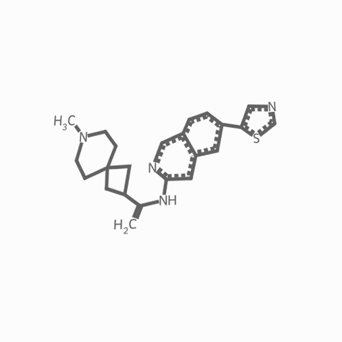 C=C(Nc1cc2cc(-c3cncs3)ccc2cn1)C1CC2(CCN(C)CC2)C1